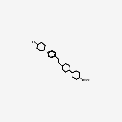 CCCCCC[C@H]1CC[C@H]([C@H]2CC[C@H](CCc3ccc([C@H]4CC[C@H](CC)CC4)cc3)CC2)CC1